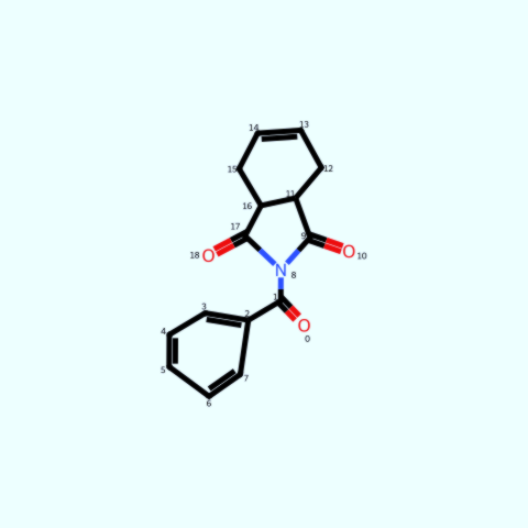 O=C(c1ccccc1)N1C(=O)C2CC=CCC2C1=O